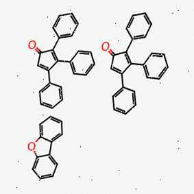 O=C1C=C(c2ccccc2)C(c2ccccc2)=C1c1ccccc1.O=C1C=C(c2ccccc2)C(c2ccccc2)=C1c1ccccc1.c1ccc2c(c1)oc1ccccc12